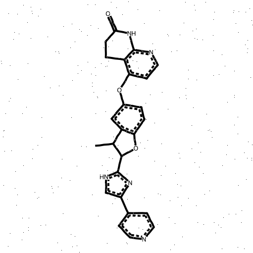 CC1c2cc(Oc3ccnc4c3CCC(=O)N4)ccc2OC1c1nc(-c2ccncc2)c[nH]1